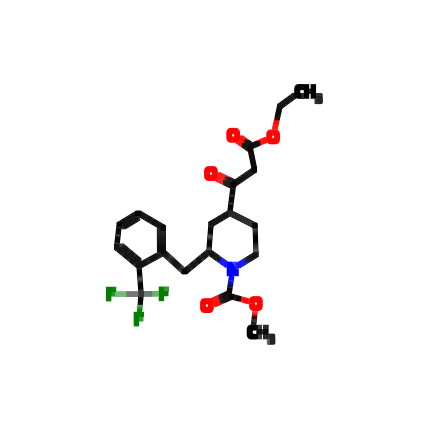 CCOC(=O)CC(=O)C1CCN(C(=O)OC)C(Cc2ccccc2C(F)(F)F)C1